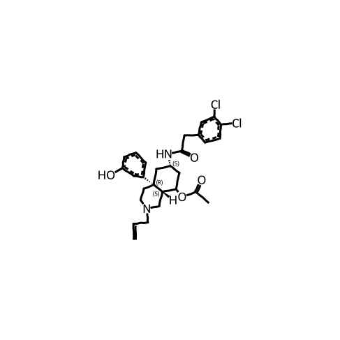 C=CCN1CC[C@@]2(c3cccc(O)c3)C[C@H](NC(=O)Cc3ccc(Cl)c(Cl)c3)CC(OC(C)=O)[C@@H]2C1